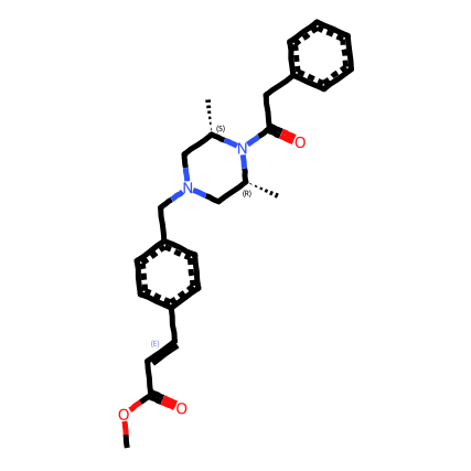 COC(=O)/C=C/c1ccc(CN2C[C@@H](C)N(C(=O)Cc3ccccc3)[C@@H](C)C2)cc1